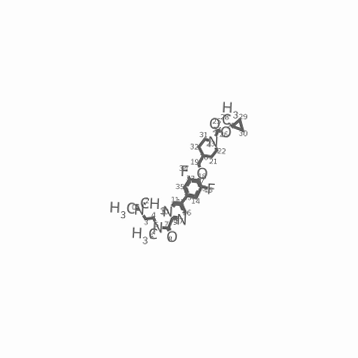 CN(C)CCN(C)C(=O)c1ncc(-c2cc(F)c(OCC3CCN(C(=O)OC4(C)CC4)CC3)c(F)c2)cn1